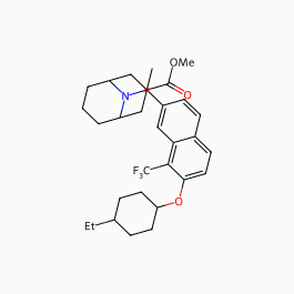 CCC1CCC(Oc2ccc3ccc(C(C)N4C5CCCC4CC(C(=O)OC)C5)cc3c2C(F)(F)F)CC1